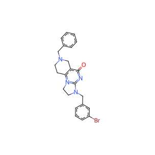 O=c1nc2n(c3c1CN(Cc1ccccc1)CC3)CCN2Cc1cccc(Br)c1